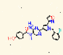 Nc1nc(-c2cc(-c3ccon3)n(Cc3ccccc3F)c2)ncc1NC(=O)c1ccc(O)cc1